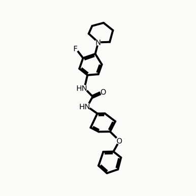 O=C(Nc1ccc(Oc2ccccc2)cc1)Nc1ccc(N2CCCCC2)c(F)c1